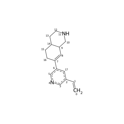 C=Cc1cncc(C2=CC3CNCCC3CC2)c1